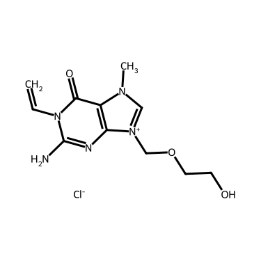 C=Cn1c(N)nc2c(c1=O)n(C)c[n+]2COCCO.[Cl-]